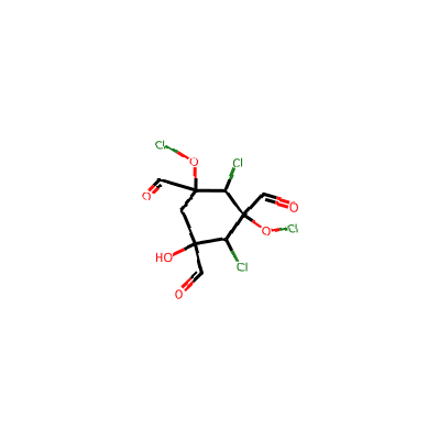 O=CC1(O)CC(C=O)(OCl)C(Cl)C(C=O)(OCl)C1Cl